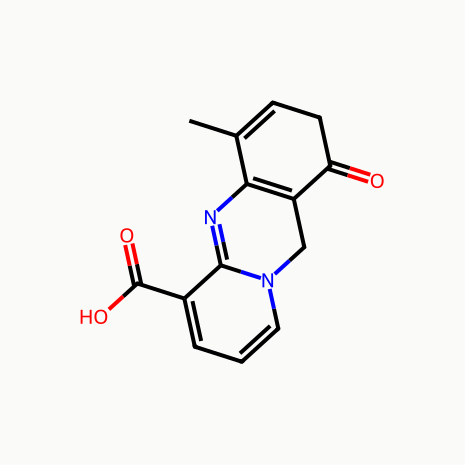 CC1=CCC(=O)C2=C1N=C1C(C(=O)O)=CC=CN1C2